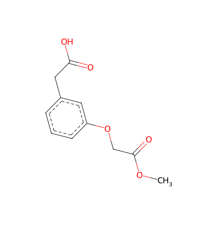 COC(=O)COc1cccc(CC(=O)O)c1